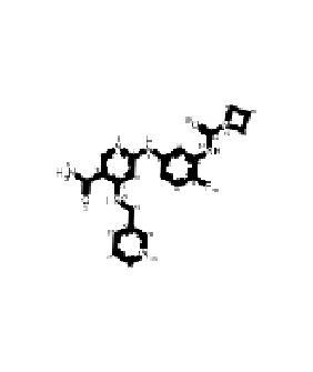 NC(=O)c1cnc(Nc2ccc(F)c(NC(=O)N3CCC3)c2)cc1NCc1cccnc1